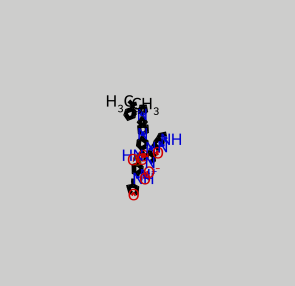 CC(C)c1ccccc1[C@@H]1CCCN1C1CC2(CCN(c3ccc(C(=O)NS(=O)(=O)c4ccc(NCC5CCOCC5)c([N+](=O)[O-])c4)c(N4c5ccncc5Oc5nc6[nH]ccc6cc54)c3)CC2)C1